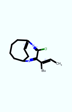 C/C=C(/C1=NC2C/C=C(CCCC2)\N=C/1Cl)C(C)CC